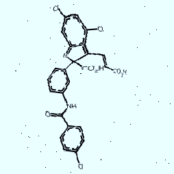 O=C(O)C=CC1=c2c(Cl)cc(Cl)cc2=NC1(C(=O)O)c1cccc(NC(=O)c2ccc(Cl)cc2)c1